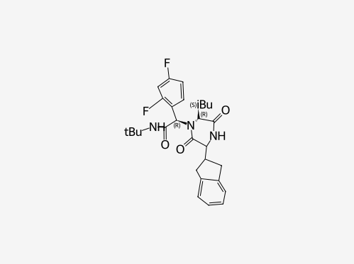 CC[C@H](C)[C@@H]1C(=O)NC(C2Cc3ccccc3C2)C(=O)N1[C@@H](C(=O)NC(C)(C)C)c1ccc(F)cc1F